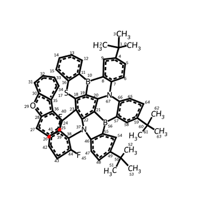 CC(C)(C)c1ccc2c(c1)B1c3ccccc3Sc3c1c1c4c(c3-c3cccc5oc6ccccc6c35)N(c3c(F)cccc3F)c3ccc(C(C)(C)C)cc3B4c3cc(C(C)(C)C)ccc3N21